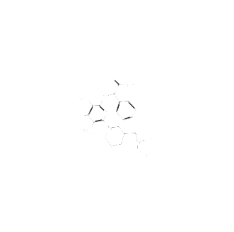 CCc1c(C#N)c(SC(C(N)=O)c2ccccc2)nc(N2CCCC(CN(C)C)C2)c1C#N